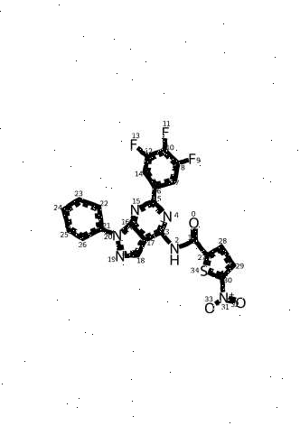 O=C(Nc1nc(-c2cc(F)c(F)c(F)c2)nc2c1cnn2-c1ccccc1)c1ccc([N+](=O)[O-])s1